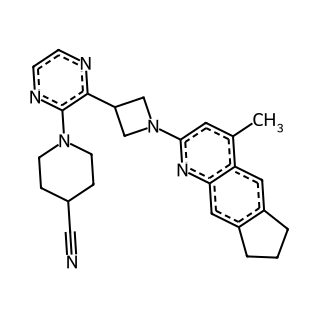 Cc1cc(N2CC(c3nccnc3N3CCC(C#N)CC3)C2)nc2cc3c(cc12)CCC3